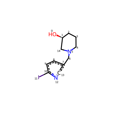 O[C@H]1CCCN(Cc2ccc(I)nc2)C1